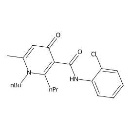 CCCCn1c(C)cc(=O)c(C(=O)Nc2ccccc2Cl)c1CCC